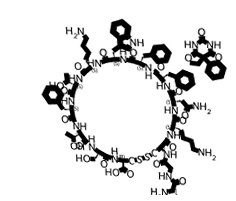 CC(O)[C@@H]1NC(=O)[C@H](Cc2ccccc2)NC(=O)[C@H](C(C)O)NC(=O)[C@H](CCCCN)NC(=O)[C@H](Cc2c[nH]c3ccccc23)NC(=O)[C@H](Cc2ccccc2)NC(=O)[C@H](Cc2ccccc2)NC(=O)[C@H](CC(N)=O)NC(=O)[C@H](CCCCN)NC(=O)[C@@H](NC(=O)CNC(=O)[C@H](C)N)CSSC[C@@H](C(=O)O)NC(=O)[C@H](CO)NC1=O.CCC1(c2ccccc2)C(=O)NC(=O)NC1=O